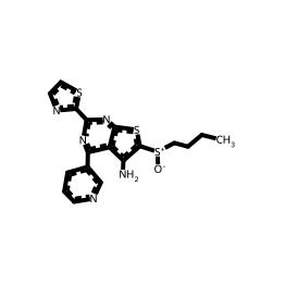 CCCC[S+]([O-])c1sc2nc(-c3nccs3)nc(-c3cccnc3)c2c1N